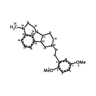 COc1ccc(OC)c(CCN2CCC3C(C2)c2cccc4c2N3CCN4C)c1